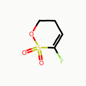 O=S1(=O)OCCC=C1F